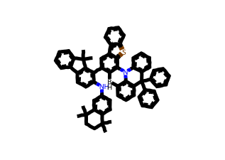 CC1(C)CCC(C)(C)c2cc(Nc3ccc4c(c3-c3cc5c(sc6ccccc65)c5c3Bc3cccc6c3N5c3ccccc3C6(c3ccccc3)c3ccccc3)C(C)(C)c3ccccc3-4)ccc21